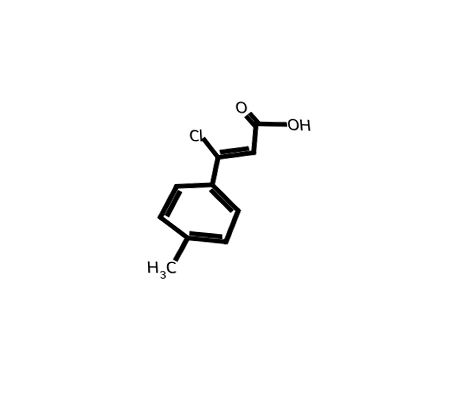 Cc1ccc(C(Cl)=CC(=O)O)cc1